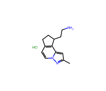 Cc1cc2c3c(ccn2n1)CCC3CCN.Cl